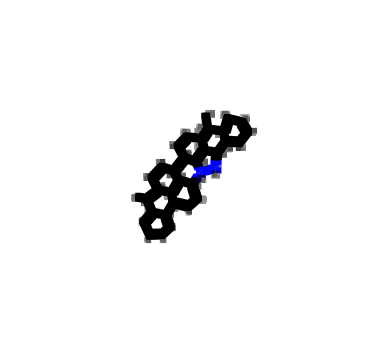 Cc1c2ccccc2c2ccc3c4c(ccc1c24)c1ccc2c(C)c4ccccc4c4nn3c1c24